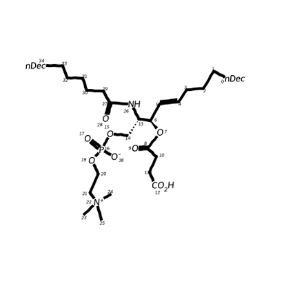 CCCCCCCCCCCCC/C=C/[C@@H](OC(=O)CCC(=O)O)[C@H](COP(=O)([O-])OCC[N+](C)(C)C)NC(=O)CCCCCCCCCCCCCCC